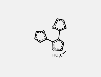 CC(=O)O.c1csc(-c2ccsc2-c2cccs2)c1